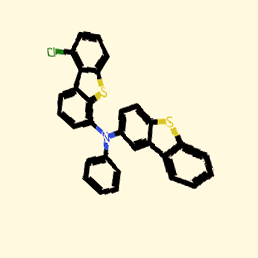 Clc1cccc2sc3c(N(c4ccccc4)c4ccc5sc6ccccc6c5c4)cccc3c12